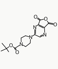 CC(C)(C)OC(=O)N1CCN(c2cnc3c(n2)C(=O)OC3=O)CC1